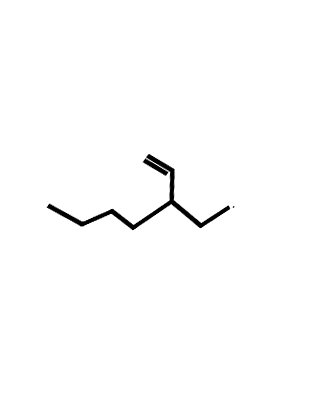 [CH2]CC(C=C)CCCC